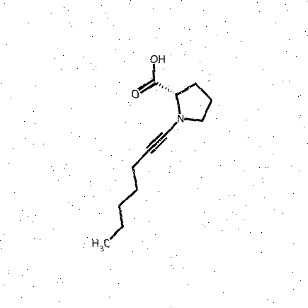 CCCCCC#CN1CCC[C@H]1C(=O)O